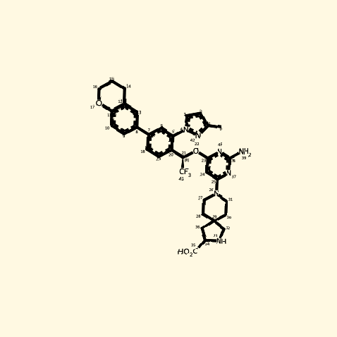 Cc1ccn(-c2cc(-c3ccc4c(c3)CCCO4)ccc2[C@@H](Oc2cc(N3CCC4(CC3)CNC(C(=O)O)C4)nc(N)n2)C(F)(F)F)n1